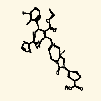 CCOC(=O)C1=C(CN2CCN3C(=O)N(C4CCC(C(=O)O)C4)C[C@]3(C)C2)NC(c2nccs2)=N[C@H]1c1cccc(F)c1C